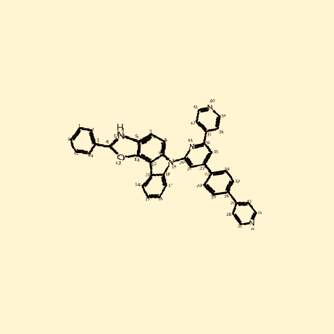 c1ccc(C2Nc3ccc4c(c3O2)c2ccccc2n4-c2cc(-c3ccc(-c4ccncc4)cc3)cc(-c3ccncc3)n2)cc1